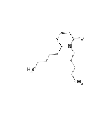 CCCCCC1SC=CC(=O)N1CCCCC